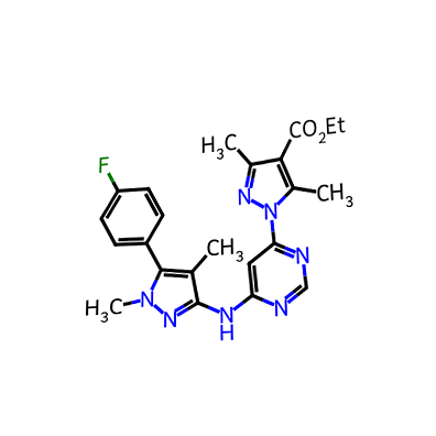 CCOC(=O)c1c(C)nn(-c2cc(Nc3nn(C)c(-c4ccc(F)cc4)c3C)ncn2)c1C